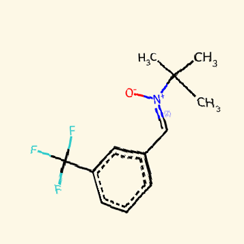 CC(C)(C)/[N+]([O-])=C/c1cccc(C(F)(F)F)c1